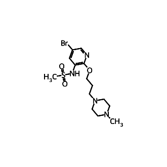 CN1CCN(CCCOc2ncc(Br)cc2NS(C)(=O)=O)CC1